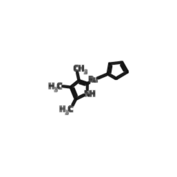 Cc1[nH][c]([Ru][C]2=CC=CC2)c(C)c1C